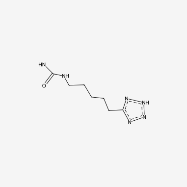 [NH]C(=O)NCCCCCc1nn[nH]n1